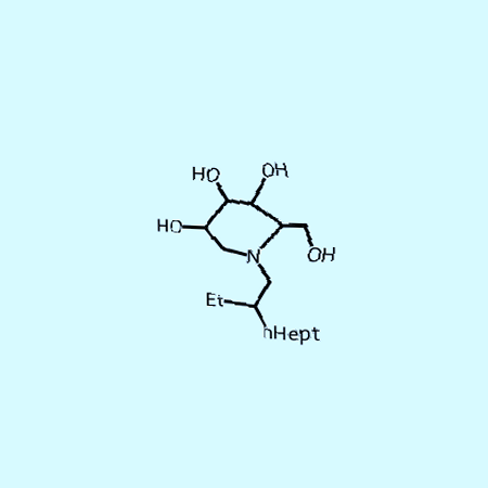 CCCCCCCC(CC)CN1CC(O)C(O)C(O)C1CO